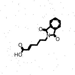 O=C(O)C=CCCCN1C(=O)c2ccccc2C1=O